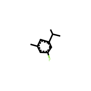 Cc1[c]c(C(C)C)cc(F)c1